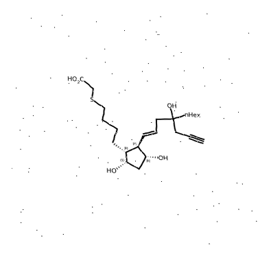 C#CCC(O)(CC=C[C@@H]1[C@@H](CCCCSCC(=O)O)[C@@H](O)C[C@H]1O)CCCCCC